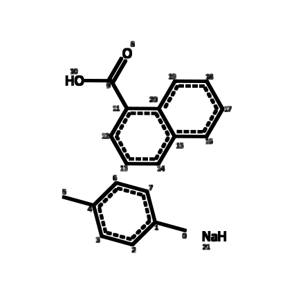 Cc1ccc(C)cc1.O=C(O)c1cccc2ccccc12.[NaH]